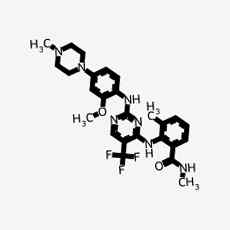 CNC(=O)c1cccc(C)c1Nc1nc(Nc2ccc(N3CCN(C)CC3)cc2OC)ncc1C(F)(F)F